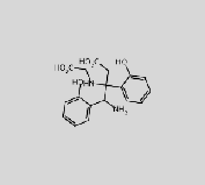 NC(c1ccccc1O)C(CC(=O)O)(NCC(=O)O)c1ccccc1O